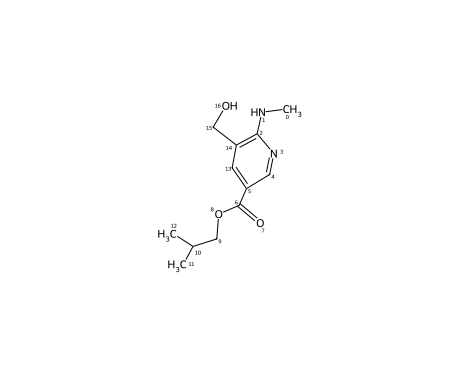 CNc1ncc(C(=O)OCC(C)C)cc1CO